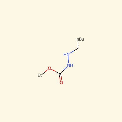 CCCCCNNC(=O)OCC